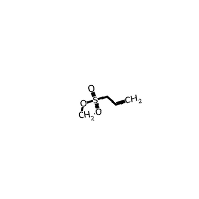 [CH2]OS(=O)(=O)CC=C